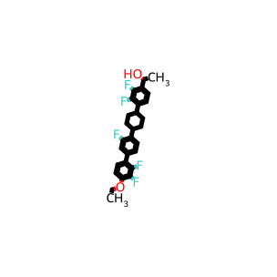 CCOc1ccc(-c2ccc(C3CCC(c4ccc(C(C)O)c(F)c4F)CC3)c(F)c2)c(F)c1F